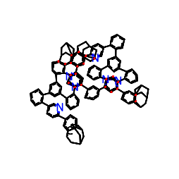 c1cc(-c2ccc(-c3ccccc3-c3cc(-c4ccccc4-c4ccc(-c5ccc6c(c5)C5CC7CC(CC6C7)C5)nc4)cc(-c4ccccc4-c4ccc(-c5ccc6c(c5)C5CC7CC(CC6C7)C5)nc4)c3)cn2)cc(-c2ccc(-c3ccccc3-c3cc(-c4ccccc4-c4ccc(-c5ccc6c(c5)C5CC7CC(CC6C7)C5)nc4)cc(-c4ccccc4-c4ccc(-c5ccc6c(c5)C5CC7CC(CC6C7)C5)nc4)c3)cn2)c1